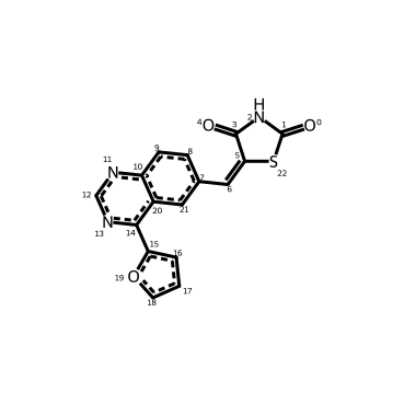 O=C1NC(=O)/C(=C\c2ccc3ncnc(-c4ccco4)c3c2)S1